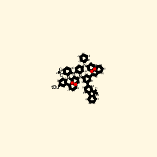 Cc1cc2c3c(c1)N(c1ccc(C(C)(C)C)cc1-c1ccccc1)c1c(ccc4c1OCO4)B3c1ccc(N(c3ccccc3)c3ccccc3)cc1N2c1cc(-c2ccc3c(c2)C(C)(C)c2ccccc2-3)cc(-c2cc3ccccc3o2)c1